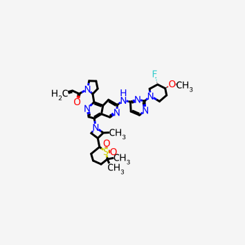 C=CC(=O)N1CCCC1c1ncc(N2CC(C3CCCC(C)(C)S3(=O)=O)C2C)c2cnc(Nc3ccnc(N4CC[C@@H](OC)[C@@H](F)C4)n3)cc12